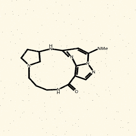 CNc1cc2nc3c(cnn13)C(=O)NCCCN1CCC(C1)N2